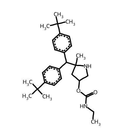 CCNC(=O)OC1CNC(C)(C(c2ccc(C(C)(C)C)cc2)c2ccc(C(C)(C)C)cc2)C1